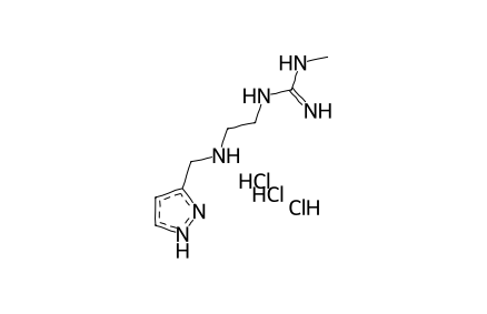 CNC(=N)NCCNCc1cc[nH]n1.Cl.Cl.Cl